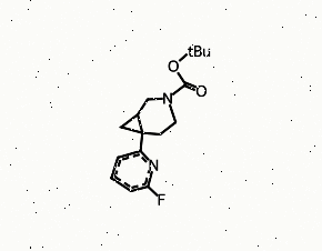 CC(C)(C)OC(=O)N1CCC2(c3cccc(F)n3)CC2C1